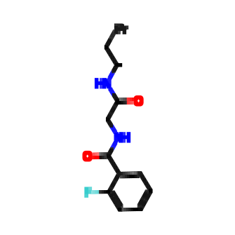 CC(C)C[CH]NC(=O)CNC(=O)c1ccccc1F